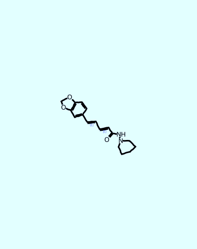 O=C(/C=C/C=C/c1ccc2c(c1)OCO2)NN1CCCCC1